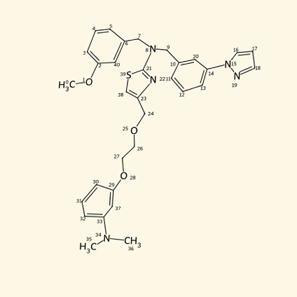 COc1cccc(CN(Cc2cccc(-n3cccn3)c2)c2nc(COCCOc3cccc(N(C)C)c3)cs2)c1